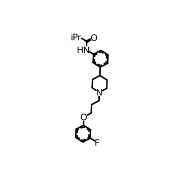 CC(C)C(=O)Nc1cccc(C2CCN(CCCOc3cccc(F)c3)CC2)c1